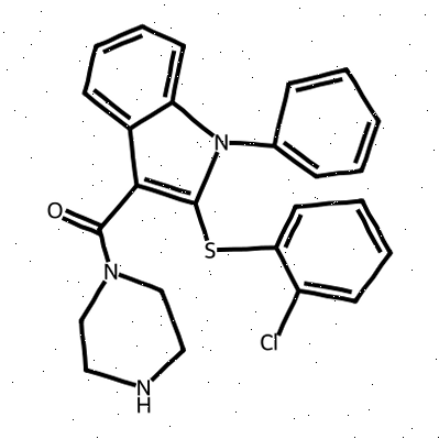 O=C(c1c(Sc2ccccc2Cl)n(-c2ccccc2)c2ccccc12)N1CCNCC1